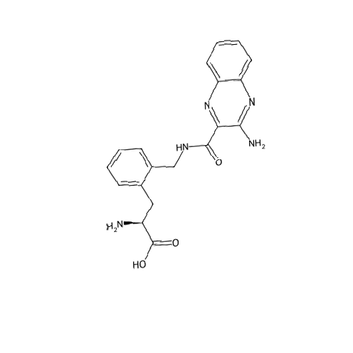 Nc1nc2ccccc2nc1C(=O)NCc1ccccc1C[C@H](N)C(=O)O